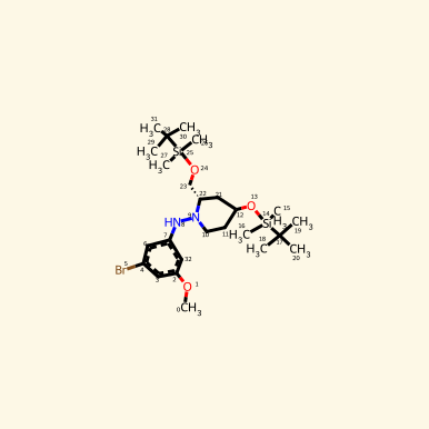 COc1cc(Br)cc(NN2CCC(O[Si](C)(C)C(C)(C)C)C[C@H]2CO[Si](C)(C)C(C)(C)C)c1